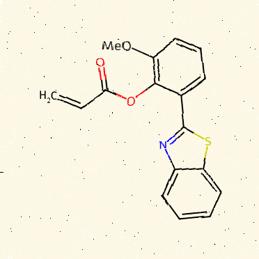 C=CC(=O)Oc1c(OC)cccc1-c1nc2ccccc2s1